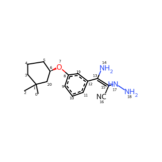 CC1(C)CCC[C@@H](Oc2cccc(/C(N)=C(\C#N)NN)c2)C1